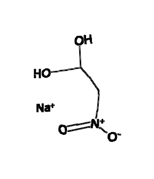 O=[N+]([O-])CC(O)O.[Na+]